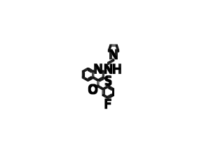 O=c1c2cc(F)ccc2sc2c(NCCN3CCCC3)nc3ccccc3c12